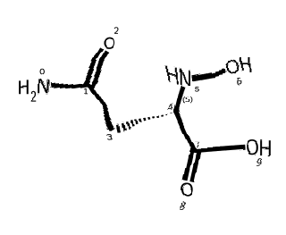 NC(=O)C[C@H](NO)C(=O)O